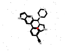 N#Cc1ccc(-c2cc3[nH]ccc3nc2C([C@@H]2CCNC2)N2CCOCC2)cc1